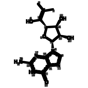 CC(C)=C(O)[C@H]1O[C@@H](n2cnc3c(=O)[nH]c(N)nc32)[C@H](O)[C@@H]1O